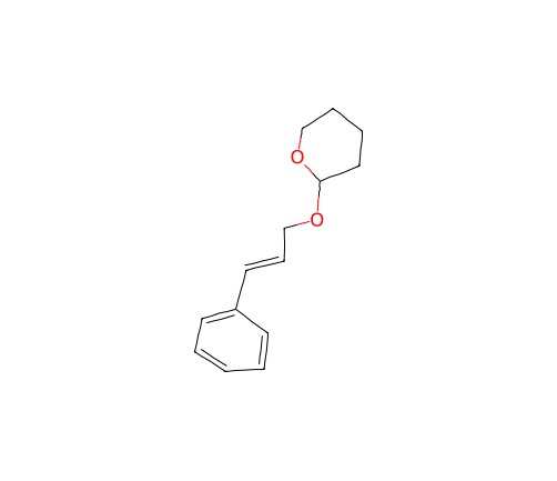 C(=C\c1ccccc1)/COC1CCCCO1